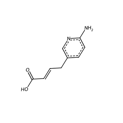 Nc1ccc(CC=CC(=O)O)cn1